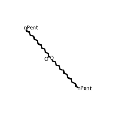 CCCCCC=CCC=CCC=CCCCCCOC(=O)CCCCC=CCC=CCC=CCCCCC